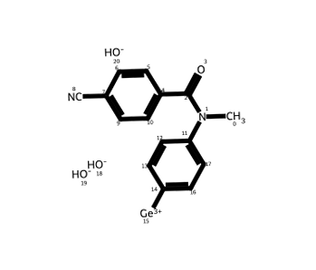 CN(C(=O)c1ccc(C#N)cc1)c1cc[c]([Ge+3])cc1.[OH-].[OH-].[OH-]